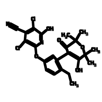 CCc1ccc(Oc2nc(O)c(Cl)c(C#N)c2Cl)cc1C1=C(O)C(C)(C)OC(C)(C)C1=O